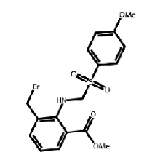 COC(=O)c1cccc(CBr)c1NCS(=O)(=O)c1ccc(OC)cc1